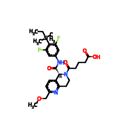 CC[Si](C)(C)c1c(F)cc(NC(=O)[C@H]2c3ccc(COC)nc3CCN2C(=O)CCCC(=O)O)cc1F